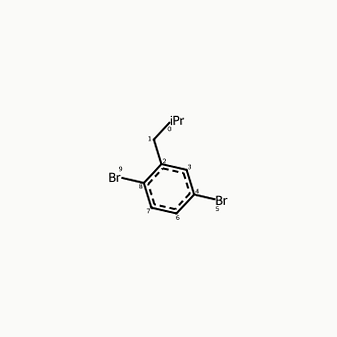 CC(C)Cc1cc(Br)ccc1Br